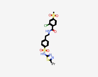 CC(C)c1nnc(NS(=O)(=O)c2ccc(CCNC(=O)c3ccc(S(C)(=O)=O)cc3Cl)cc2)s1